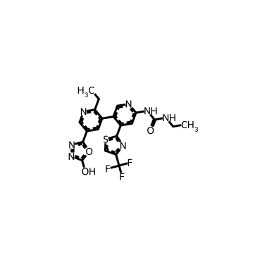 CCNC(=O)Nc1cc(-c2nc(C(F)(F)F)cs2)c(-c2cc(-c3nnc(O)o3)cnc2CC)cn1